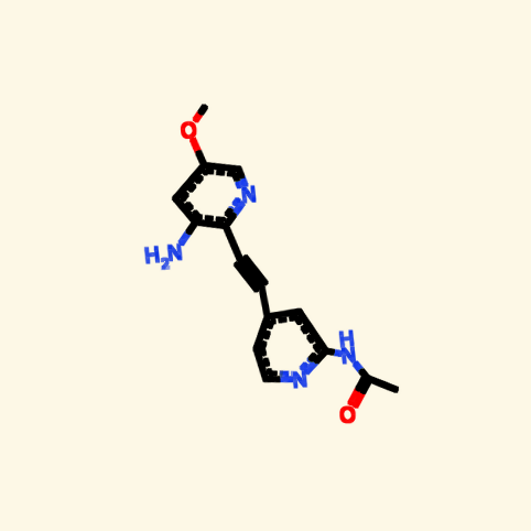 COc1cnc(C#Cc2ccnc(NC(C)=O)c2)c(N)c1